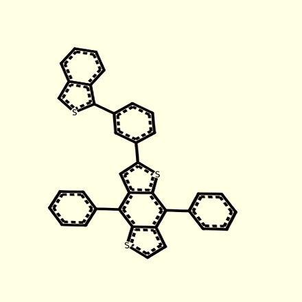 c1ccc(-c2c3cc(-c4cccc(-c5scc6ccccc56)c4)sc3c(-c3ccccc3)c3ccsc23)cc1